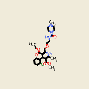 CCOC(=O)C1=C(COCCNC(=O)N2CCN(C)CC2)NC(C)=C(C(=O)OC)C1c1ccccc1Cl